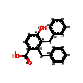 O=C(O)c1ccc(O)c(Cc2ccccc2)c1Cc1ccccc1